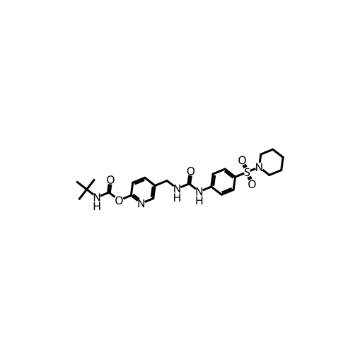 CC(C)(C)NC(=O)Oc1ccc(CNC(=O)Nc2ccc(S(=O)(=O)N3CCCCC3)cc2)cn1